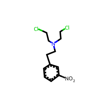 O=[N+]([O-])c1cccc(CCN(CCCl)CCCl)c1